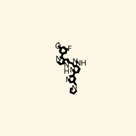 COc1cc(F)cc(-c2nccc3[nH]c(-c4n[nH]c5ccc(-c6cncc(CN7CCCC7)c6)nc45)cc23)c1